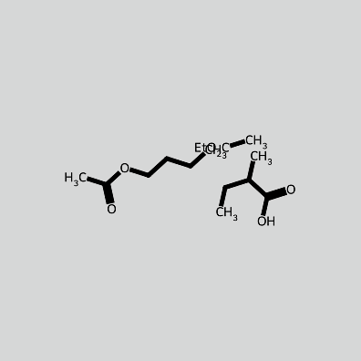 CCC(C)C(=O)O.CCCCOC(C)=O.CCOC(C)=O